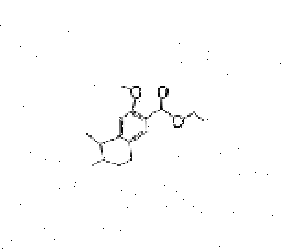 CCOC(=O)c1cc2c(cc1OC)C(C)C(C)CC2